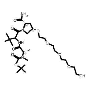 C[C@@H](C(=O)NC(C(=O)N1C[C@@H](OCCOCCOCCOCCO)C[C@H]1C(N)=O)C(C)(C)C)N(C)C(=O)OC(C)(C)C